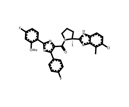 COc1cc(F)ccc1-c1nc(C(=O)N2CCC[C@@]2(C)c2nc3c(C)c(Cl)ccc3[nH]2)c(-c2ccc(F)cc2)s1